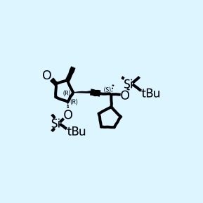 C=C1C(=O)C[C@@H](O[Si](C)(C)C(C)(C)C)[C@@H]1C#C[C@@](C)(O[Si](C)(C)C(C)(C)C)C1CCCC1